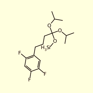 CC(C)OC(CCCc1cc(F)c(F)cc1F)(O[SiH3])OC(C)C